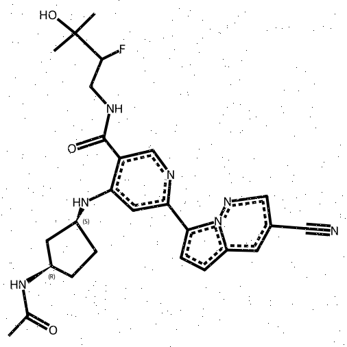 CC(=O)N[C@@H]1CC[C@H](Nc2cc(-c3ccc4cc(C#N)cnn34)ncc2C(=O)NCC(F)C(C)(C)O)C1